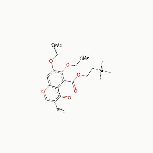 Bc1coc2cc(OCOC)c(OCOC)c(C(=O)OCC[Si](C)(C)C)c2c1=O